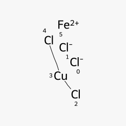 [Cl-].[Cl-].[Cl][Cu][Cl].[Fe+2]